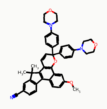 COc1ccc2c3c(c4c(c2c1)OC(c1ccc(N2CCOCC2)cc1)(c1ccc(N2CCOCC2)cc1)C=C4)C(C)(C)c1cc(C#N)ccc1-3